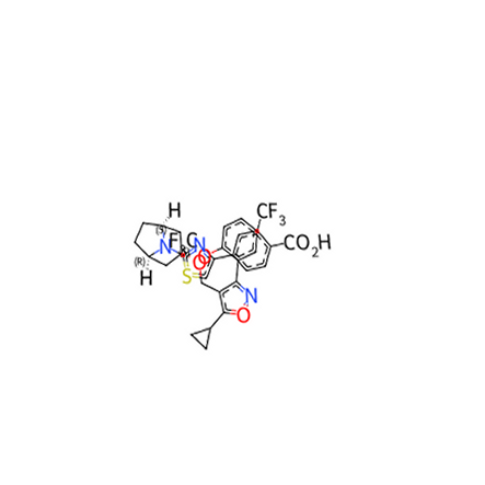 O=C(O)c1ccc(-c2csc(N3[C@@H]4CC[C@H]3C[C@H](OCc3c(-c5ccccc5OC(F)(F)F)noc3C3CC3)C4)n2)cc1C(F)(F)F